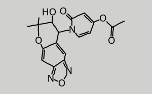 CC(=O)Oc1ccn(C2c3cc4nonc4cc3OC(C)(C)C2O)c(=O)c1